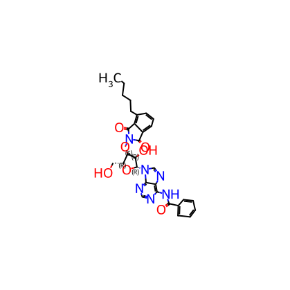 CCCCCc1cccc2c1C(=O)N(O[C@H]1[C@@H](O)[C@H](n3cnc4c(NC(=O)c5ccccc5)ncnc43)O[C@@H]1CO)C2=O